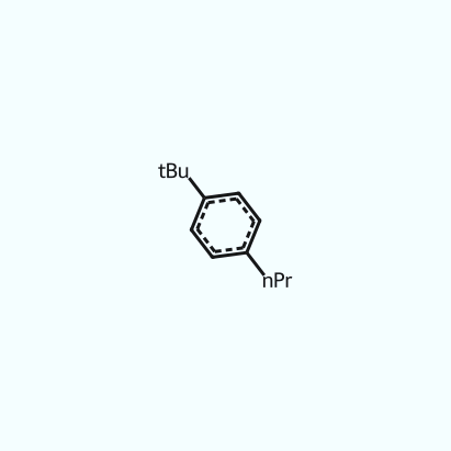 [CH2]CCc1ccc(C(C)(C)C)cc1